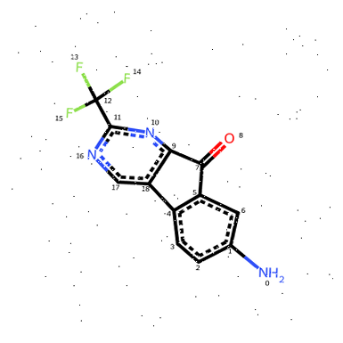 Nc1ccc2c(c1)C(=O)c1nc(C(F)(F)F)ncc1-2